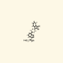 CC(C)N(C(=O)O)c1nnc2c(N3CCC(n4c(=O)[nH]c5ccccc54)CC3)nccn12